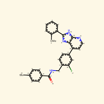 COc1ccccc1-c1nc2c(-c3ccc(CNC(=O)c4ccc(C(C)(C)C)cc4)c(F)c3)ccnc2[nH]1